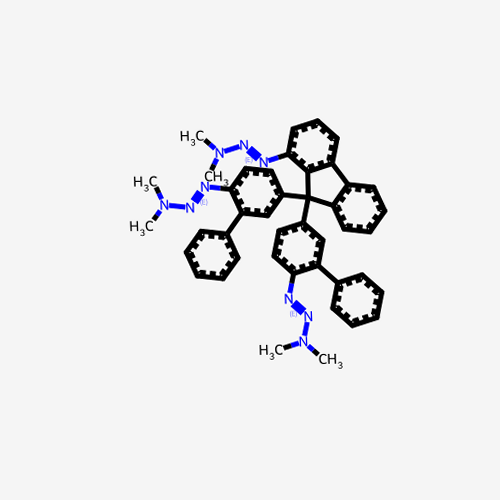 CN(C)/N=N/c1ccc(C2(c3ccc(/N=N/N(C)C)c(-c4ccccc4)c3)c3ccccc3-c3cccc(/N=N/N(C)C)c32)cc1-c1ccccc1